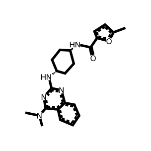 Cc1ccc(C(=O)N[C@H]2CC[C@@H](Nc3nc(N(C)C)c4ccccc4n3)CC2)o1